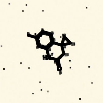 Cc1ccc2c(c1)NC(=O)CC21CC1